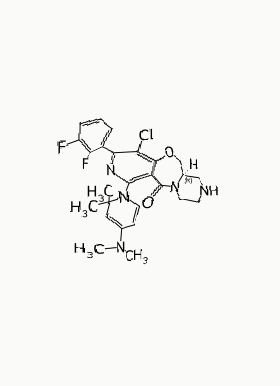 CN(C)C1=CC(C)(C)N(c2nc(-c3cccc(F)c3F)c(Cl)c3c2C(=O)N2CCNC[C@@H]2CO3)C=C1